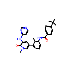 Cc1c(NC(=O)c2ccc(C(C)(C)C)cc2)cccc1-c1cc(Nc2ccncn2)c(=O)n(C)c1